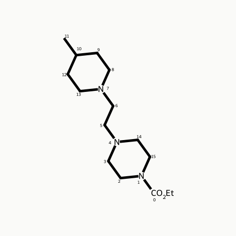 CCOC(=O)N1CCN(CCN2CCC(C)CC2)CC1